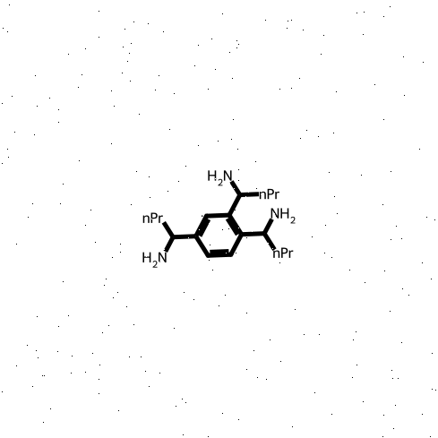 CCCC(N)c1[c]c(C(N)CCC)c(C(N)CCC)cc1